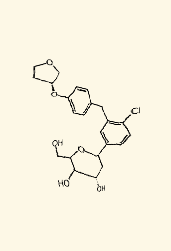 OCC1OC(c2ccc(Cl)c(Cc3ccc(O[C@H]4CCOC4)cc3)c2)C[C@H](O)C1O